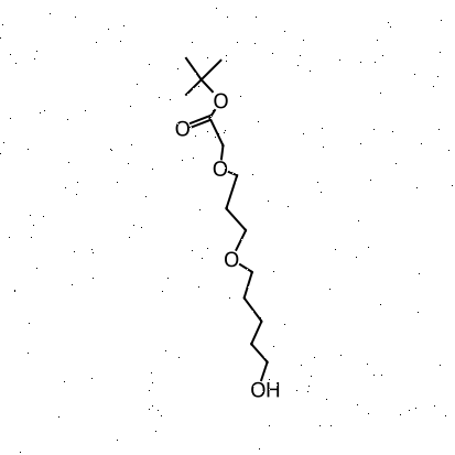 CC(C)(C)OC(=O)COCCCOCCCCCO